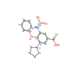 O=[SH](=O)Nc1cc(C(O)=S)cc(N2CCCC2)c1Oc1ccccc1